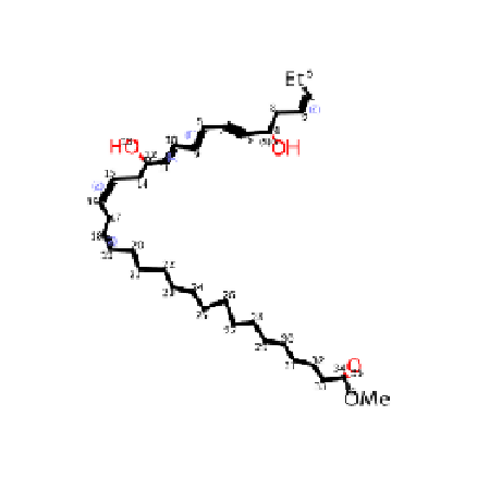 CC/C=C\C[C@H](O)C#C/C=C/C=C/[C@H](O)C/C=C\C/C=C\CCCCCCCCCCCCCCC(=O)OC